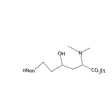 CCCCCCCCCCCC(O)CC(C(=O)OCC)N(C)C